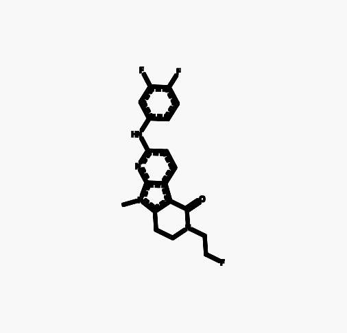 Cn1c2c(c3ccc(Nc4ccc(F)c(F)c4)nc31)C(=O)N(CCF)CC2